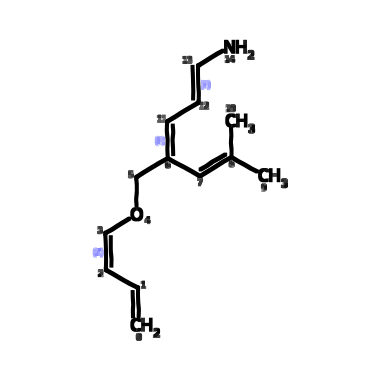 C=C/C=C\OC/C(C=C(C)C)=C/C=C/N